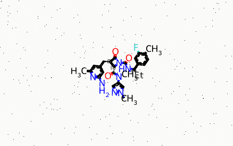 CC[C@@H](NC(=O)N1C(=O)[C@H](Cc2cc(C)nc(N)c2)[C@H]1C(=O)N(C)c1cnn(C)c1)c1ccc(C)c(F)c1